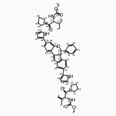 C=C(C)[C@H](NC(=O)OC)C(=O)N1CCC[C@H]1c1ncc(-c2ccc3c(c2)cc2n3[C@H](c3ccccc3)Oc3cc(-c4cnc([C@@H]5CCCN5C(=O)[C@@H](NC(=O)OC)C(C)C)[nH]4)ccc3-2)[nH]1